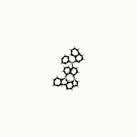 c1ccc(N(c2ccc(-n3ccc4ccc5c6ccccc6n(-c6ccccc6)c5c43)cc2)c2cccc3ccccc23)cc1